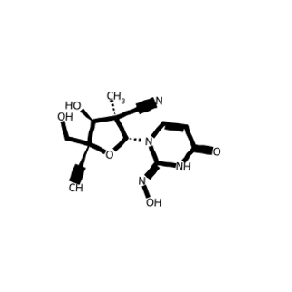 C#C[C@]1(CO)O[C@@H](n2ccc(=O)[nH]/c2=N\O)[C@](C)(C#N)[C@@H]1O